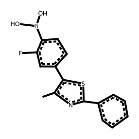 Cc1nc(-c2ccccc2)sc1-c1ccc(B(O)O)c(F)c1